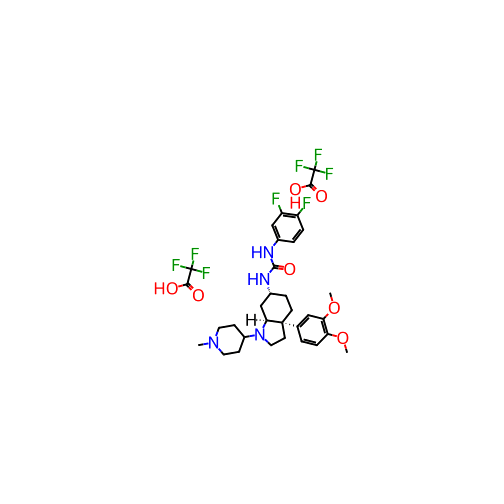 COc1ccc([C@@]23CC[C@@H](NC(=O)Nc4ccc(F)c(F)c4)C[C@@H]2N(C2CCN(C)CC2)CC3)cc1OC.O=C(O)C(F)(F)F.O=C(O)C(F)(F)F